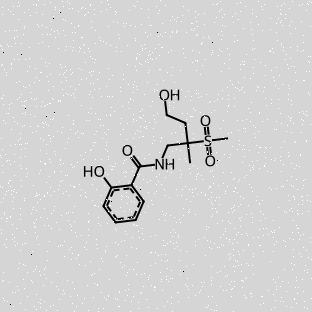 CC(CCO)(CNC(=O)c1ccccc1O)S(C)(=O)=O